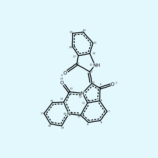 O=C1/C(=c2/c(=O)c3cccc4c3n2c(=O)c2cccc[n+]24)Nc2ccccc21